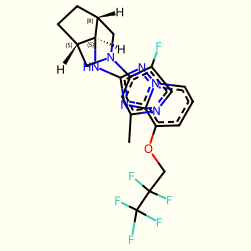 Cc1cc(N2C[C@H]3CC[C@@H](C2)[C@@H]3Nc2nc3c(OCC(F)(F)C(F)(F)F)cccn3n2)c(F)cn1